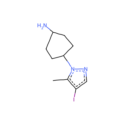 Cc1c(I)cnn1C1CCC(N)CC1